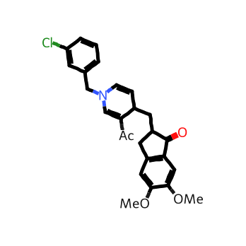 COc1cc2c(cc1OC)C(=O)C(CC1C=CN(Cc3cccc(Cl)c3)C=C1C(C)=O)C2